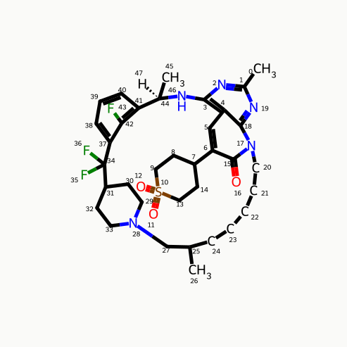 Cc1nc2c3cc(C4CCS(=O)(=O)CC4)c(=O)n(c3n1)CCCCCC(C)CN1CCC(CC1)C(F)(F)c1cccc(c1F)[C@@H](C)N2